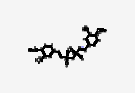 COc1ccc(C=CS(=O)(=O)CS(=O)(=O)/C=C/c2ccc(OC)c(O)c2)cc1N